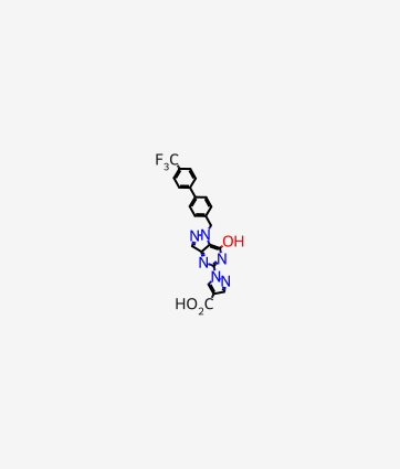 O=C(O)c1cnn(-c2nc(O)c3c(cnn3Cc3ccc(-c4ccc(C(F)(F)F)cc4)cc3)n2)c1